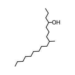 CCCCCCCCCC(C)CCCC(O)CCC